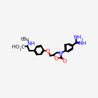 CC(C)(C)NC(Cc1ccc(OCC2CN(c3ccc(C(=N)N)cc3)C(=O)O2)cc1)C(=O)O